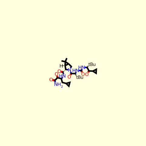 CC(C)(C)[C@H](NC(=O)N[C@H](C(=O)N1CC2[C@@H]([C@H]1C(=O)NC(CC1CC1)C(=O)C(N)=O)C2(C)C)C(C)(C)C)C(=O)C1CC1